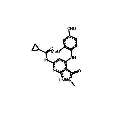 COc1cc(C=O)ccc1Nc1cc(NC(=O)C2CC2)nc2[nH]n(C)c(=O)c12